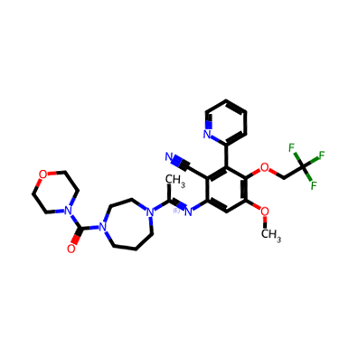 COc1cc(/N=C(\C)N2CCCN(C(=O)N3CCOCC3)CC2)c(C#N)c(-c2ccccn2)c1OCC(F)(F)F